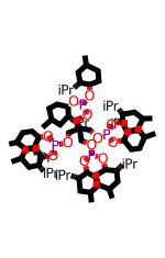 CC1CCC(OP(OCC(COP(OC2CCC(C)CC2C(C)C)OC2CCC(C)CC2C(C)C)(COP(OC2CCC(C)CC2C(C)C)OC2CCC(C)CC2C(C)C)COP(OC2CCC(C)CC2C(C)C)OC2CCC(C)CC2C(C)C)OC2CCC(C)CC2C(C)C)C(C(C)C)C1